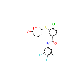 O=C1CCCC(Sc2cc(C(=O)Nc3cc(F)c(F)c(F)c3)ccc2Cl)CO1